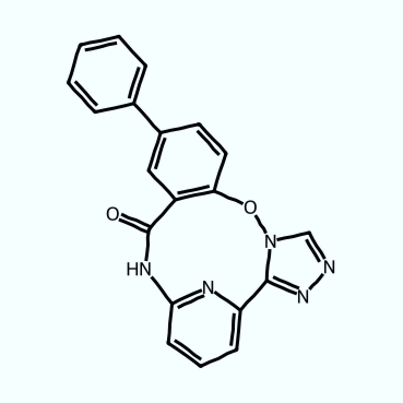 O=C1Nc2cccc(n2)-c2nncn2Oc2ccc(-c3ccccc3)cc21